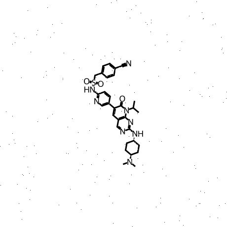 CC(C)n1c(=O)c(-c2ccc(NS(=O)(=O)Cc3ccc(C#N)cc3)nc2)cc2cnc(N[C@H]3CC[C@H](N(C)C)CC3)nc21